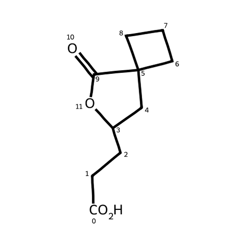 O=C(O)CCC1CC2(CCC2)C(=O)O1